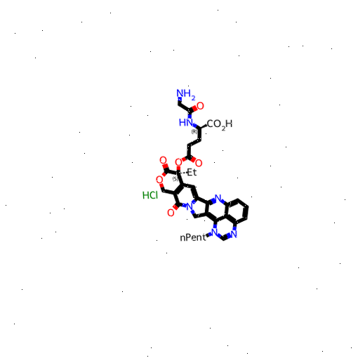 CCCCCN1C=Nc2cccc3nc4c(c1c23)Cn1c-4cc2c(c1=O)COC(=O)[C@@]2(CC)OC(=O)CC[C@@H](NC(=O)CN)C(=O)O.Cl